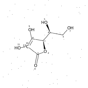 O=C1O[C@H]([C@@H](O)CO)C(O)=[13C]1O